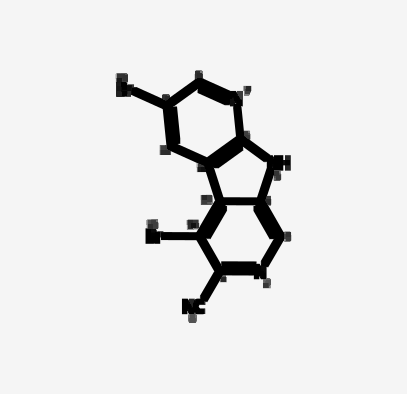 N#Cc1ncc2[nH]c3ncc(Br)cc3c2c1Br